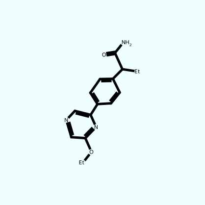 CCOc1cncc(-c2ccc(C(CC)C(N)=O)cc2)n1